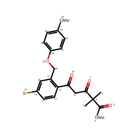 COC(=O)C(C)(C)C(=O)CC(=O)c1ccc(Br)cc1COc1ccc(OC)cc1